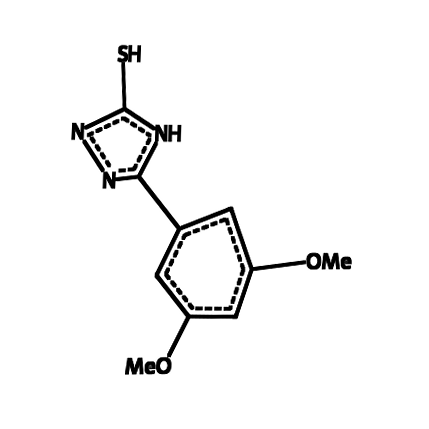 COc1cc(OC)cc(-c2nnc(S)[nH]2)c1